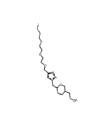 OCCC1CCC(Cn2cc(COCCOCCOCCCI)nn2)OC1